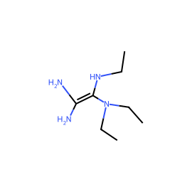 CCNC(=C(N)N)N(CC)CC